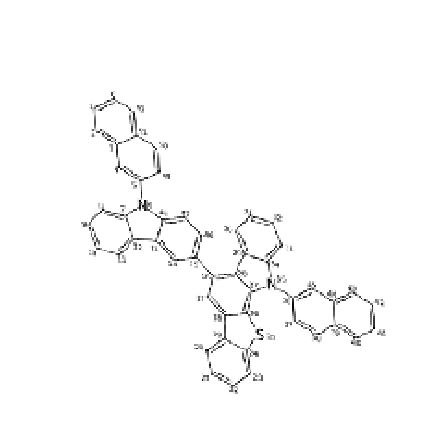 c1ccc2cc(-n3c4ccccc4c4cc(-c5cc6c7ccccc7sc6c6c5c5ccccc5n6-c5ccc6ccccc6c5)ccc43)ccc2c1